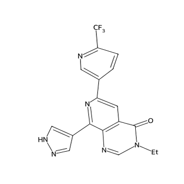 CCn1cnc2c(-c3cn[nH]c3)nc(-c3ccc(C(F)(F)F)nc3)cc2c1=O